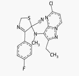 CCc1nn2ccc(Cl)nc2c1N(C)C1(C#N)SCN=C1c1ccc(F)cc1